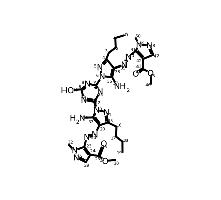 CCCCc1nn(-c2nc(O)nc(-n3nc(CCCC)c(/N=N/c4c(C(=O)OC)cnn4C)c3N)n2)c(N)c1/N=N/c1c(C(=O)OC)cnn1C